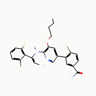 CC=C(c1c(F)cccc1Cl)N(C)c1ncc(-c2cc(C(N)=O)ccc2Cl)cc1OCCCC